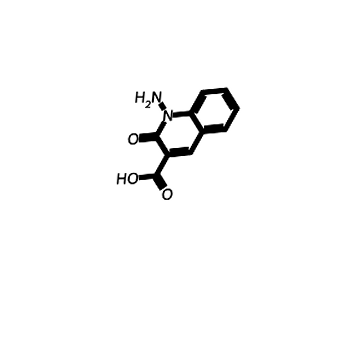 Nn1c(=O)c(C(=O)O)cc2ccccc21